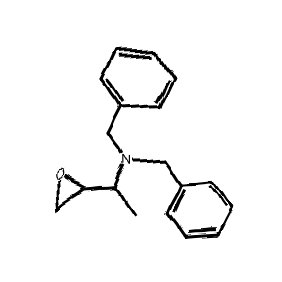 CC(C1CO1)N(Cc1ccccc1)Cc1ccccc1